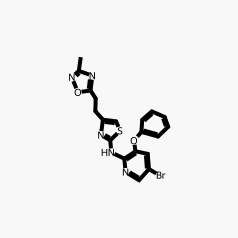 Cc1noc(CCc2csc(Nc3ncc(Br)cc3Oc3ccccc3)n2)n1